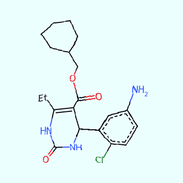 CCC1=C(C(=O)OCC2CCCCC2)C(c2cc(N)ccc2Cl)NC(=O)N1